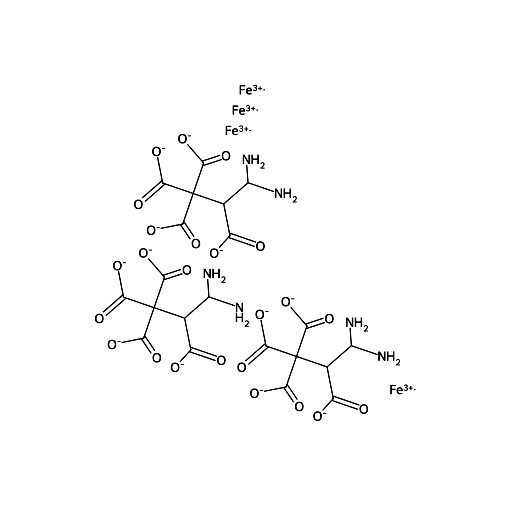 NC(N)C(C(=O)[O-])C(C(=O)[O-])(C(=O)[O-])C(=O)[O-].NC(N)C(C(=O)[O-])C(C(=O)[O-])(C(=O)[O-])C(=O)[O-].NC(N)C(C(=O)[O-])C(C(=O)[O-])(C(=O)[O-])C(=O)[O-].[Fe+3].[Fe+3].[Fe+3].[Fe+3]